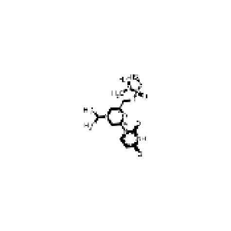 CC(C)N1C[C@@H](COP(=O)(SS)N(C)C)O[C@@H](n2ccc(=O)[nH]c2=O)C1